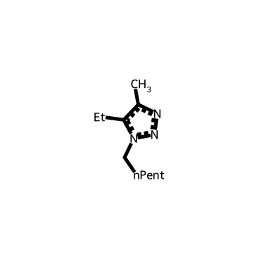 CCCCCCn1nnc(C)c1CC